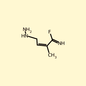 C/C(=C/CNN)C(=N)F